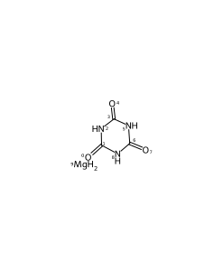 O=c1[nH]c(=O)[nH]c(=O)[nH]1.[MgH2]